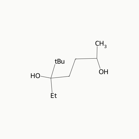 CCC(O)(CCC(C)O)C(C)(C)C